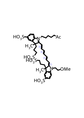 COCCN1/C(=C/C=C/C=C/C=C/C2=[N+](CCCCCC(C)=O)c3ccc(S(=O)(=O)O)cc3C2(C)CCCS(=O)(=O)O)C(C)(CCCS(=O)(=O)O)c2cc(S(=O)(=O)O)ccc21